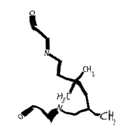 CC(CN=CC=O)CC(C)(C)CCN=CC=O